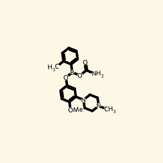 COc1ccc(OB(OC(N)=O)c2ccccc2C)cc1N1CCN(C)CC1